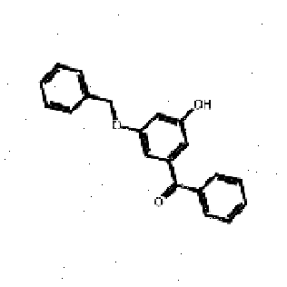 O=C(c1ccccc1)c1cc(O)cc(OCc2ccccc2)c1